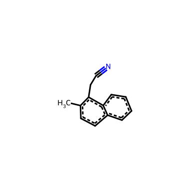 Cc1ccc2ccccc2c1CC#N